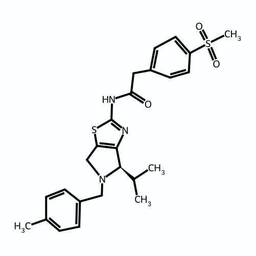 Cc1ccc(CN2Cc3sc(NC(=O)Cc4ccc(S(C)(=O)=O)cc4)nc3[C@H]2C(C)C)cc1